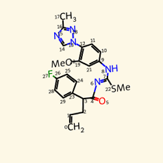 C=CCC(C(=O)N=C(Nc1ccc(-n2cnc(C)n2)c(OC)c1)SC)c1ccc(F)cc1